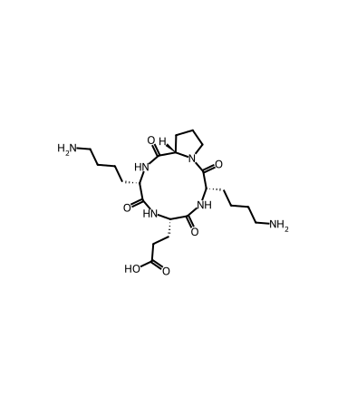 NCCCC[C@@H]1NC(=O)[C@@H]2CCCN2C(=O)[C@H](CCCCN)NC(=O)[C@H](CCC(=O)O)NC1=O